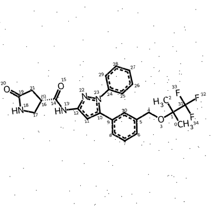 CC(C)(OCc1cccc(-c2cc(NC(=O)[C@@H]3CNC(=O)C3)nn2-c2ccccc2)c1)C(F)(F)F